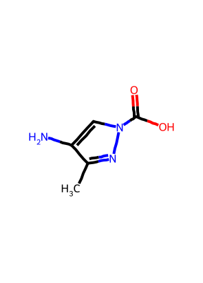 Cc1nn(C(=O)O)cc1N